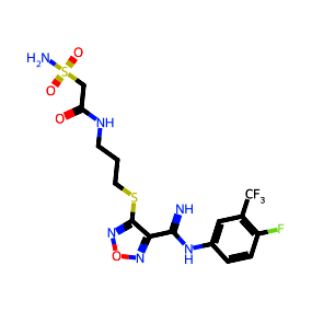 N=C(Nc1ccc(F)c(C(F)(F)F)c1)c1nonc1SCCCNC(=O)CS(N)(=O)=O